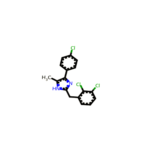 Cc1[nH]c(Cc2cccc(Cl)c2Cl)nc1-c1ccc(Cl)cc1